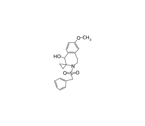 COc1ccc2c(c1)CCN(S(=O)(=O)Cc1ccccc1)C1(CC1)C2O